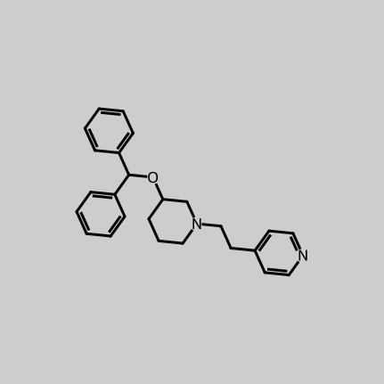 c1ccc(C(OC2CCCN(CCc3ccncc3)C2)c2ccccc2)cc1